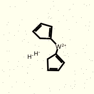 C1=CC[C]([W+2][C]2=CC=CC2)=C1.[H-].[H-]